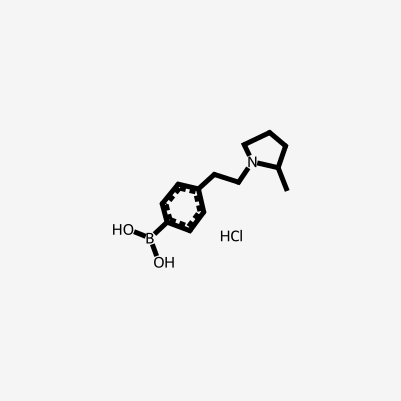 CC1CCCN1CCc1ccc(B(O)O)cc1.Cl